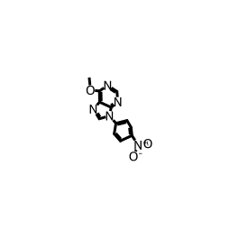 COc1ncnc2c1ncn2-c1ccc([N+](=O)[O-])cc1